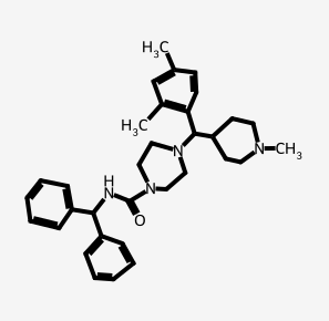 Cc1ccc(C(C2CCN(C)CC2)N2CCN(C(=O)NC(c3ccccc3)c3ccccc3)CC2)c(C)c1